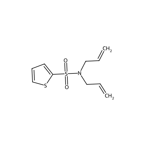 C=CCN(CC=C)S(=O)(=O)c1cccs1